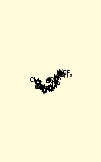 COc1cc(Cl)ccc1COc1cccc(C2CCN(Cc3nc4cc(-c5nnc(C(F)(F)F)[nH]5)ncc4n3C[C@@H]3CCO3)CC2)n1